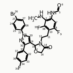 CNc1c(NC=O)cc(F)c(CCN2C(=O)COC2c2cn(-c3ccc(Br)cc3)nc2-c2ccc(F)cc2)c1F